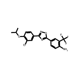 CC(C)Oc1ccc(-c2noc(-c3ccc(N)c(C(F)(F)F)c3)n2)cc1Cl